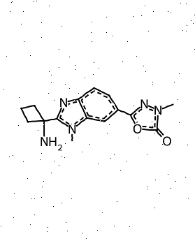 Cn1nc(-c2ccc3nc(C4(N)CCC4)n(C)c3c2)oc1=O